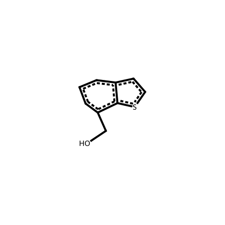 OCc1cccc2ccsc12